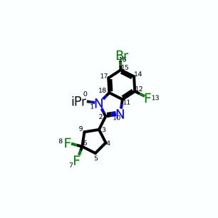 CC(C)n1c(C2CCC(F)(F)C2)nc2c(F)cc(Br)cc21